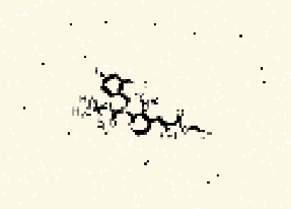 CCOC(=O)C(O)=Cc1ccnc(N(Cc2ccc(F)cc2C)C(=O)OC(C)(C)C)c1[N+](=O)[O-]